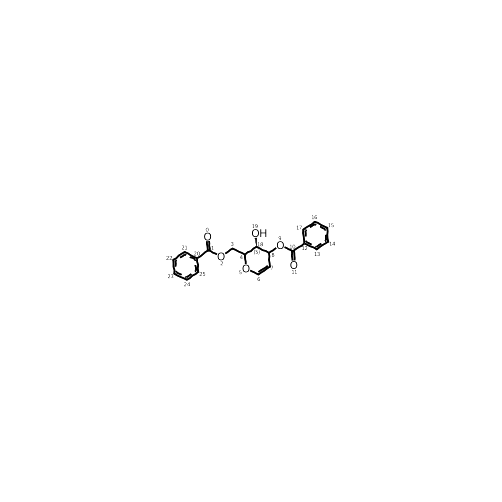 O=C(OCC1OC=CC(OC(=O)c2ccccc2)[C@@H]1O)c1ccccc1